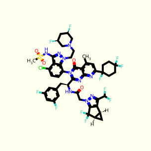 Cc1cc(C2(F)CCC(F)(F)CC2)nc2nc([C@H](Cc3cc(F)cc(F)c3)NC(=O)Cn3nc(C(F)F)c4c3C(F)(F)[C@@H]3C[C@H]43)n(-c3ccc(Cl)c4c(NS(C)(=O)=O)nn(CCN5C[C@H](F)C[C@H](F)C5)c34)c(=O)c12